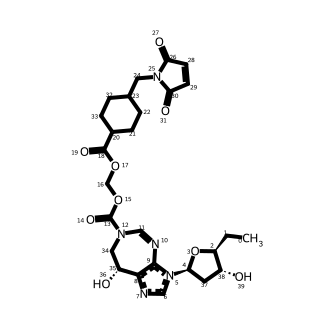 CC[C@@H]1O[C@H](n2cnc3c2N=CN(C(=O)OCOC(=O)C2CCC(CN4C(=O)C=CC4=O)CC2)C[C@H]3O)C[C@H]1O